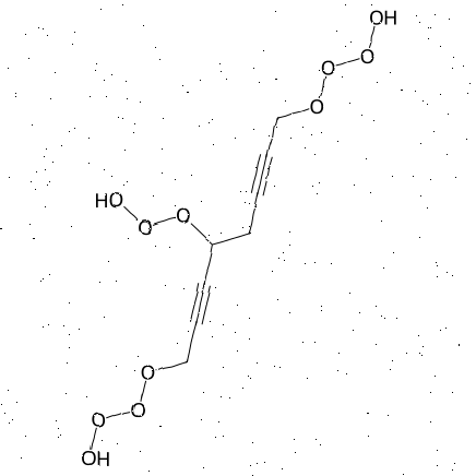 OOOOCC#CCC(C#CCOOOO)OOO